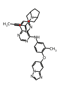 CC#CC(=O)N1CC2CCC(C1)N2c1ccc2ncnc(Nc3ccc(Oc4ccn5ncnc5c4)c(C)c3)c2n1